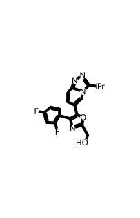 CC(C)c1nnc2ccc(-c3oc(CO)nc3-c3ccc(F)cc3F)cn12